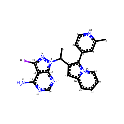 Cc1cc(-c2c(C(C)n3nc(I)c4c(N)ncnc43)cc3ccccn23)ccn1